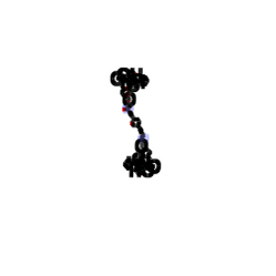 C/C(C#Cc1ccc(C#C/C=C/COc2ccc(CC(Nc3ccccc3C(=O)c3ccccc3)C(=O)O)cc2)cc1)=C\COc1ccc(CC(Nc2ccccc2C(=O)c2ccccc2)C(=O)O)cc1